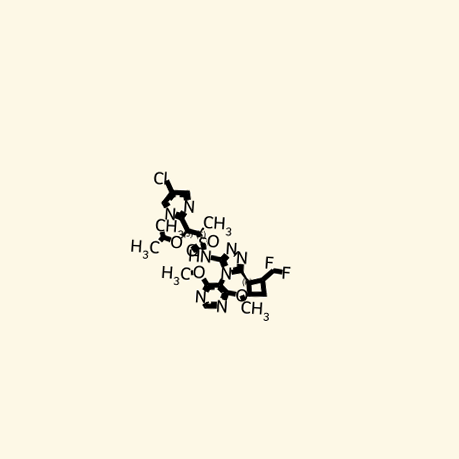 COc1ncnc(OC)c1-n1c(NS(=O)(=O)[C@@H](C)[C@@H](OC(C)C)c2ncc(Cl)cn2)nnc1[C@@H]1CCC1C(F)F